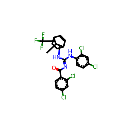 CC1C(N/C(=N\C(=O)c2ccc(Cl)cc2Cl)Nc2ccc(Cl)cc2Cl)C2C=CC(CC2)C1C(F)(F)F